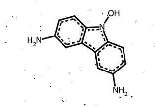 Nc1ccc2c(c1)c1cc(N)ccc1n2O